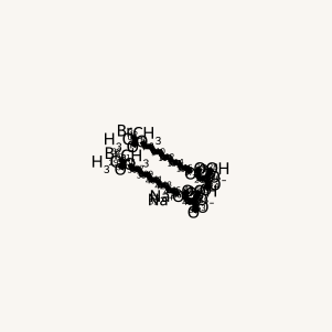 CC(C)(Br)C(=O)OCCCCCCCCCCOC(=O)CC(C(=O)[O-])S(=O)(=O)O.CC(C)(Br)C(=O)OCCCCCCCCCCOC(=O)CC(C(=O)[O-])S(=O)(=O)O.[Na+].[Na+]